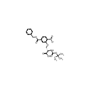 CC(C)(C)OC(=O)N[C@@H](COc1cc(C(=O)OCc2ccccc2)ccc1[N+](=O)[O-])C(=O)O